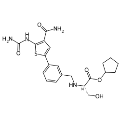 NC(=O)Nc1sc(-c2cccc(CN[C@@H](CO)C(=O)OC3CCCC3)c2)cc1C(N)=O